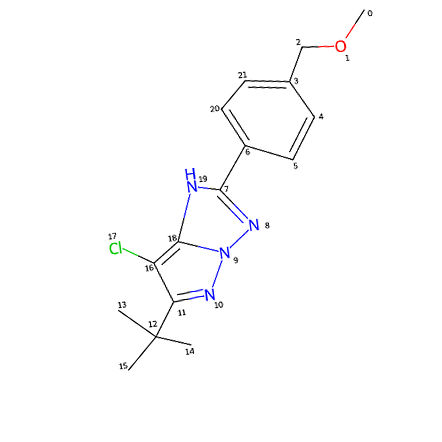 COCc1ccc(-c2nn3nc(C(C)(C)C)c(Cl)c3[nH]2)cc1